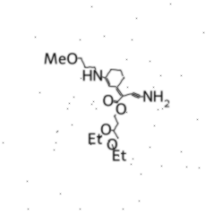 CCOCC(CCOC(=O)/C(C#CN)=C1\C=C(NCCCOC)CCC1)OCC